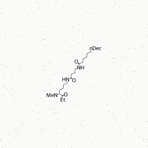 CCCCCCCCCCCCCCCC(=O)NCCCC(=O)NCCCCC(NC)C(=O)CC